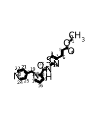 CCOC(=O)/C=C/c1csc(NC(=O)c2cccn2Cc2ccncc2)n1